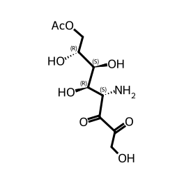 CC(=O)OC[C@@H](O)[C@@H](O)[C@H](O)[C@H](N)C(=O)C(=O)CO